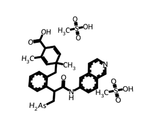 CC1=CC(C)(Cc2ccccc2C(C[AsH2])C(=O)Nc2ccc3cnccc3c2)C=CC1C(=O)O.CS(=O)(=O)O.CS(=O)(=O)O